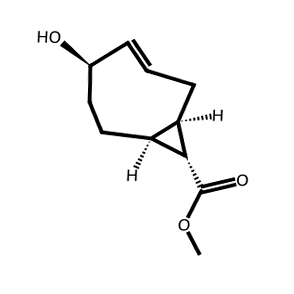 COC(=O)[C@H]1[C@@H]2C/C=C/[C@H](O)CC[C@@H]21